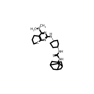 CN(C)c1nc(N[C@H]2CC[C@@H](NC(=S)NC34CC5CC(CC(C5)C3)C4)CC2)nc2c1CCCC2